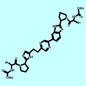 COC(=O)NC(C(=O)N1CCCC1c1ncc(CCc2cnc(-c3ccc4nc(C5CCCN5C(=O)C(NC(=O)OC)C(C)C)[nH]c4c3)cn2)[nH]1)C(C)C